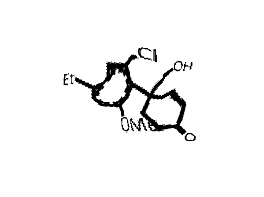 CCc1cc(Cl)c(C2(CO)CCC(=O)CC2)c(OC)c1